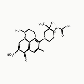 CC1CCc2c(N3CC[C@H](OC(=O)C(C)(C)C)C(C)(C)C3)c(F)cc3c(=O)c(C(=O)O)cn1c23